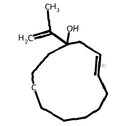 C=C(C)C1(O)C/C=C/CCCCCCCC1